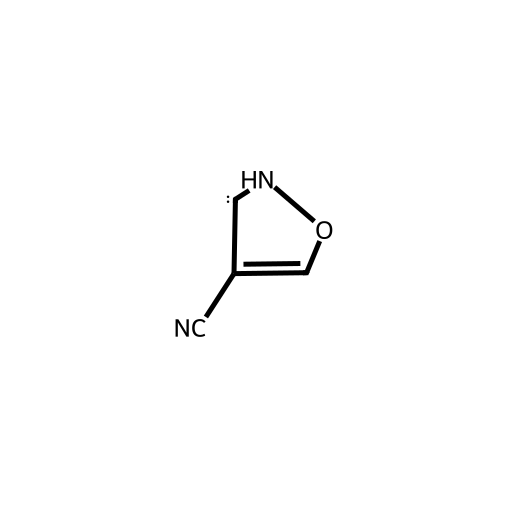 N#CC1=CON[C]1